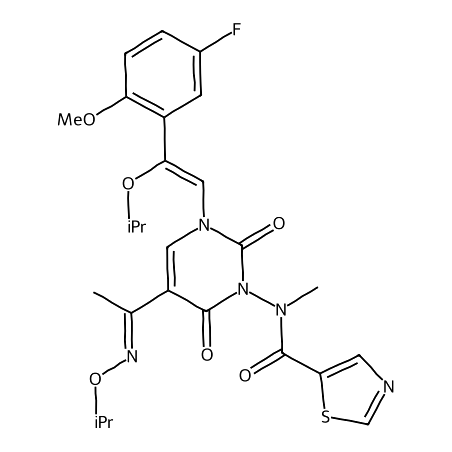 COc1ccc(F)cc1/C(=C/n1cc(/C(C)=N/OC(C)C)c(=O)n(N(C)C(=O)c2cncs2)c1=O)OC(C)C